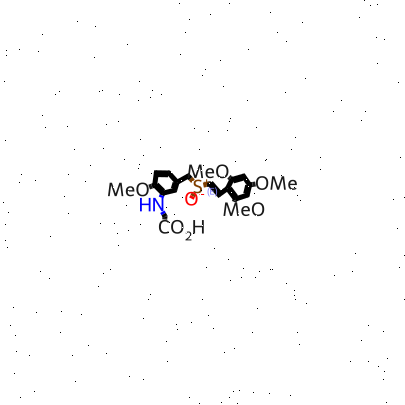 COc1cc(OC)c(/C=C/[S+]([O-])Cc2ccc(OC)c(NCC(=O)O)c2)c(OC)c1